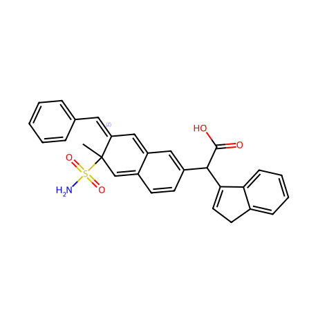 CC1(S(N)(=O)=O)C=c2ccc(C(C(=O)O)C3=CCc4ccccc43)cc2=C/C1=C/c1ccccc1